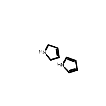 C1=CCNC1.c1cc[nH]c1